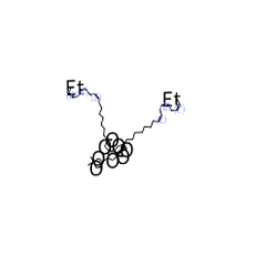 CC/C=C\C/C=C\C/C=C\CCCCCCCC(=O)OC1=C(OC(=O)CCCCCCC/C=C\C/C=C\C/C=C\CC)C(C2COC(C)(C)O2)OC1=O